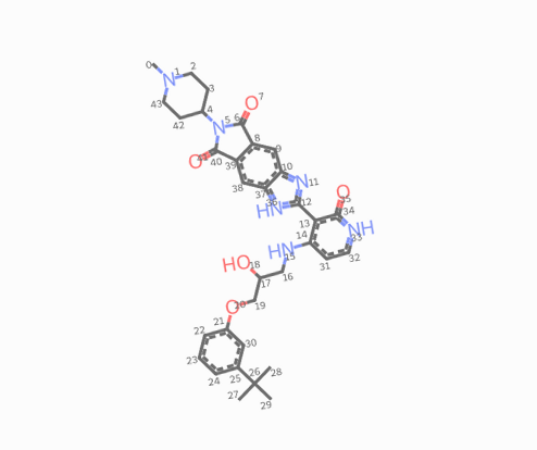 CN1CCC(N2C(=O)c3cc4nc(-c5c(NCC(O)COc6cccc(C(C)(C)C)c6)cc[nH]c5=O)[nH]c4cc3C2=O)CC1